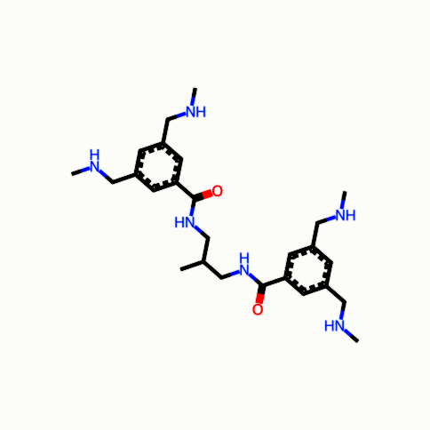 CNCc1cc(CNC)cc(C(=O)NCC(C)CNC(=O)c2cc(CNC)cc(CNC)c2)c1